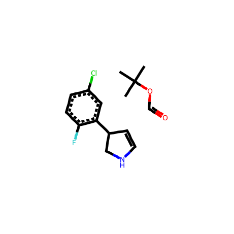 CC(C)(C)OC=O.Fc1ccc(Cl)cc1C1C=CNC1